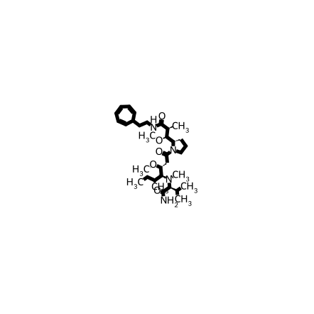 CC[C@H](C)[C@@H]([C@@H](CC(=O)N1CCC[C@H]1[C@H](OC)[C@@H](C)C(=O)NCCC1C=CC=CC=C1)OC)N(C)[C@H](C(N)=O)C(C)C